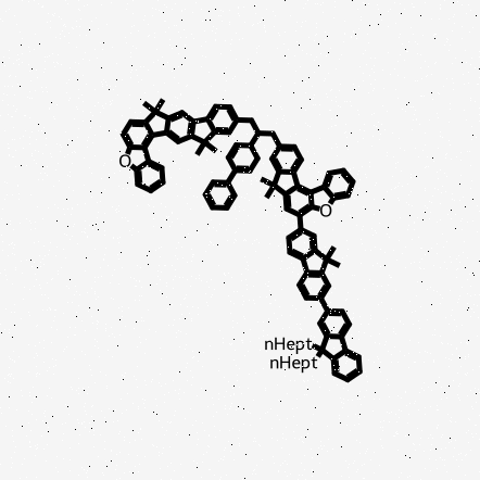 CCCCCCCC1(CCCCCCC)c2ccccc2-c2ccc(-c3ccc4c(c3)C(C)(C)c3cc(-c5cc6c(c7c5oc5ccccc57)-c5ccc(CC(Cc7ccc8c(c7)C(C)(C)c7cc9c(cc7-8)C(C)(C)c7ccc8oc%10ccccc%10c8c7-9)C7C=CC(c8ccccc8)=CC7)cc5C6(C)C)ccc3-4)cc21